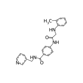 Cc1ccccc1NCC(=O)Nc1ccc(C(=O)NCc2cccnc2)cc1